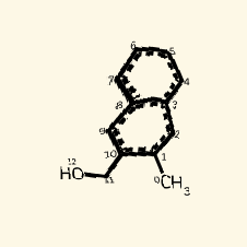 Cc1cc2ccccc2cc1CO